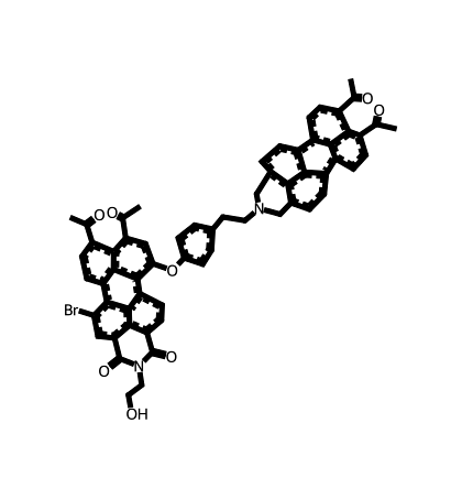 CC(=O)c1ccc2c3ccc4c5c(ccc(c6ccc(C(C)=O)c1c26)c53)CN(CCc1ccc(Oc2cc(C(C)=O)c3c(C(C)=O)ccc5c6c(Br)cc7c8c(ccc(c2c35)c86)C(=O)N(CCO)C7=O)cc1)C4